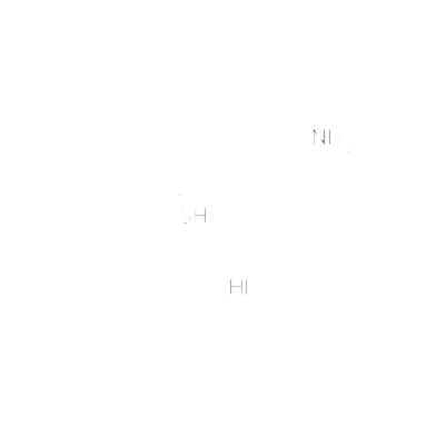 I.NCC[SH]1C=CC=C1